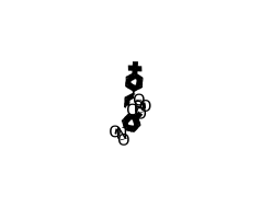 CC(C)(C)c1ccc([C@@H]2CCOP(=O)(Oc3ccc([N+](=O)[O-])cc3)O2)cc1